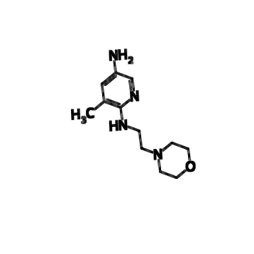 Cc1cc(N)cnc1NCCN1CCOCC1